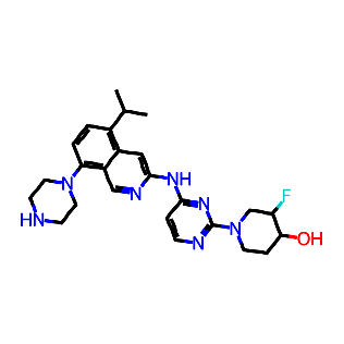 CC(C)c1ccc(N2CCNCC2)c2cnc(Nc3ccnc(N4CCC(O)C(F)C4)n3)cc12